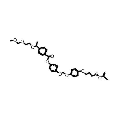 C=C(C)OOCCCOc1ccc(OCOc2ccc(OC(=O)c3ccc(C(C)OCCOCOC)cc3)cc2)cc1